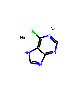 Clc1ncnc2nc[nH]c12.[Na].[Na]